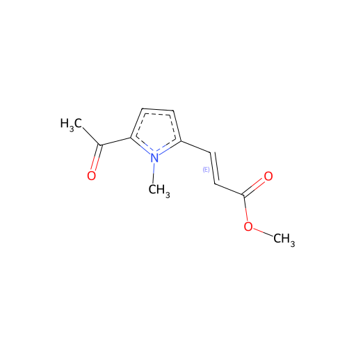 COC(=O)/C=C/c1ccc(C(C)=O)n1C